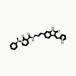 CN(c1ccccc1)n1cccc(C(=O)NC/C=C/c2ccc3c(c2)NC(=O)C3=Cc2ccc[nH]2)c1=O